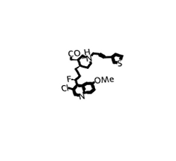 COc1ccc2ncc(Cl)c([C@@H](F)CC[C@@H]3CCN(CC#Cc4ccsc4)C[C@@H]3CC(=O)O)c2c1